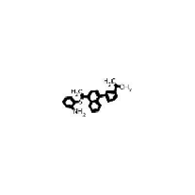 C=C(C)c1cccc(-c2ccc(C(=C)Sc3ccccc3N)c3ccccc23)c1